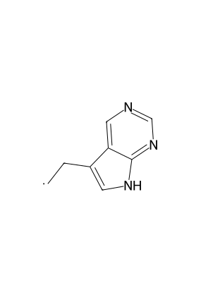 [CH2]Cc1c[nH]c2ncncc12